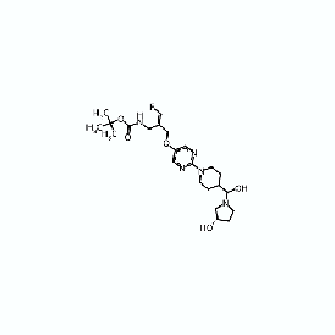 CC(C)(C)OC(=O)NC/C(=C\F)COc1cnc(N2CCC(C(O)N3CC[C@H](O)C3)CC2)nc1